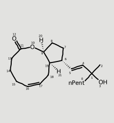 CCCCCC(C)(O)/C=C/[C@H]1CC[C@@H]2OC(=O)CCC/C=C\C[C@@H]21